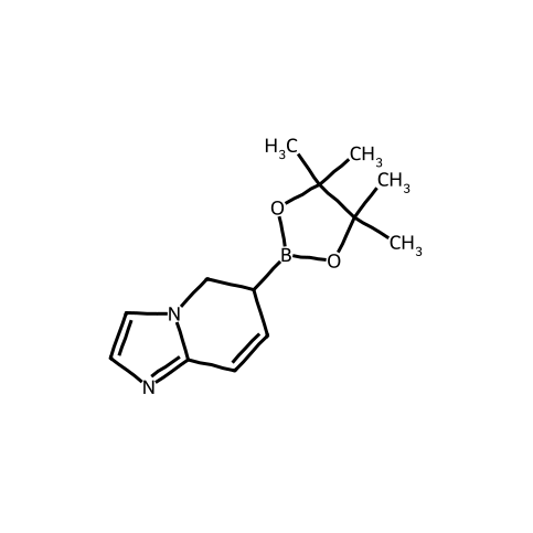 CC1(C)OB(C2C=Cc3nccn3C2)OC1(C)C